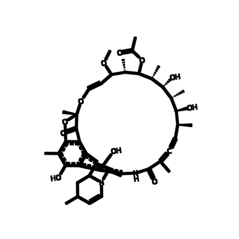 COC1/C=C/O[C@@]2(C)Oc3c(C)c(O)c4c(O)c(c5c(c4c3C2=O)C2CC(C)C=CN52)NC(=O)C(C)=C=C[C@H](C)[C@H](O)[C@@H](C)[C@@H](O)[C@@H](C)C(OC(C)=O)[C@H]1C